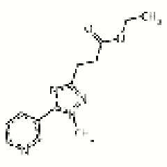 CCOC(=O)CCc1nc(-c2cccnc2)n(C)n1